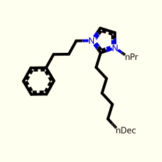 CCCCCCCCCCCCCCCc1n(CCC)cc[n+]1CCCc1ccccc1